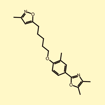 Cc1cc(CCCCCOc2ccc(-c3nc(C)c(C)o3)cc2C)on1